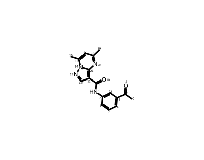 CC(=O)c1cccc(NC(=O)c2cnn3c(C)cc(C)nc23)c1